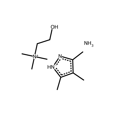 C[N+](C)(C)CCO.Cc1n[nH]c(C)c1C.N